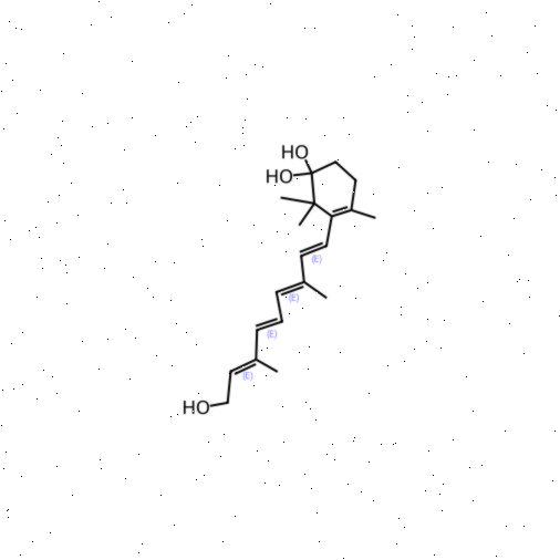 CC1=C(/C=C/C(C)=C/C=C/C(C)=C/CO)C(C)(C)C(O)(O)CC1